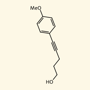 COc1ccc(C#CCCCO)cc1